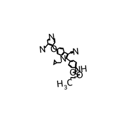 CCCS(=O)(=O)Nc1ccc(-c2c(C#N)c3ccc(Oc4ccncc4C#N)cc3n2CC2CC2)cc1